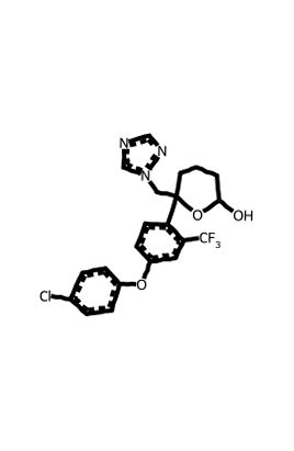 OC1CCCC(Cn2cncn2)(c2ccc(Oc3ccc(Cl)cc3)cc2C(F)(F)F)O1